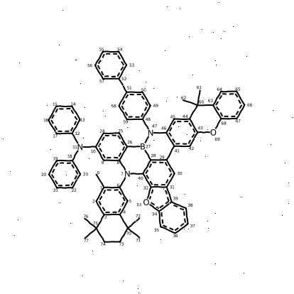 Cc1cc2c(cc1N1c3cc(N(c4ccccc4)c4ccccc4)ccc3B3c4c(cc5c(oc6ccccc65)c41)-c1cc4c(cc1N3c1ccc(-c3ccccc3)cc1)C(C)(C)c1ccccc1O4)C(C)(C)CCC2(C)C